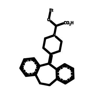 CCOC(C(=O)O)N1CCC(=C2c3ccccc3CCc3ccccc32)CC1